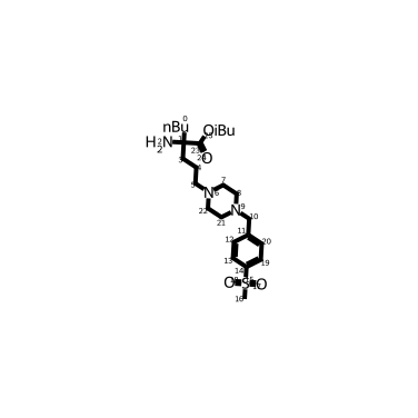 [CH2]CCCC(N)(CCCN1CCN(Cc2ccc(S(C)(=O)=O)cc2)CC1)C(=O)OCC(C)C